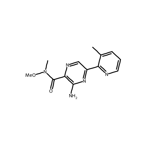 CON(C)C(=O)c1ncc(-c2ncccc2C)nc1N